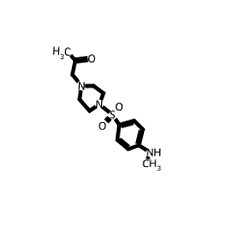 CNc1ccc(S(=O)(=O)N2CCN(CC(C)=O)CC2)cc1